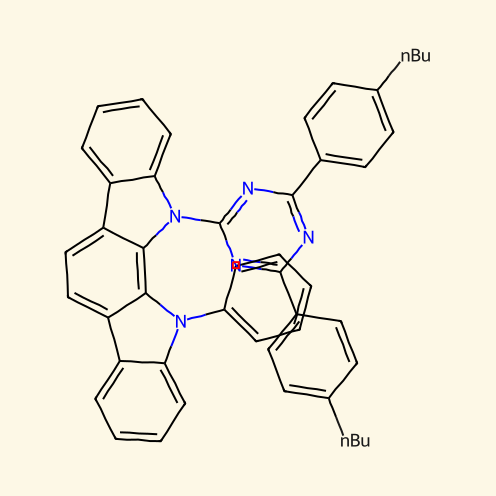 CCCCc1ccc(-c2nc(-c3ccc(CCCC)cc3)nc(-n3c4ccccc4c4ccc5c6ccccc6n(-c6ccccc6)c5c43)n2)cc1